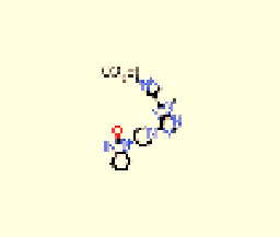 CCOC(=O)Cn1cc(-c2nc3c(N4CCC(n5c(=O)[nH]c6ccccc65)CC4)ncnc3n2C)cn1